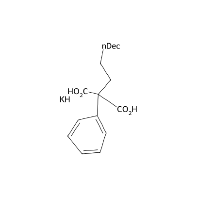 CCCCCCCCCCCCC(C(=O)O)(C(=O)O)c1ccccc1.[KH]